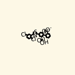 O=C(O)Oc1cc(-c2nc(-c3cc(Cl)ccc3Cl)cs2)ccc1-c1ccccc1[N+](=O)[O-]